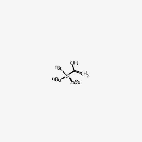 C=C(O)S(CCCC)(CCCC)CCCC